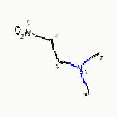 CN(C)CC[N+](=O)[O-]